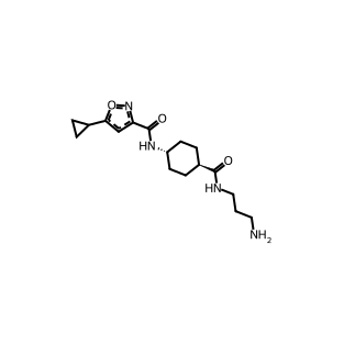 NCCCNC(=O)[C@H]1CC[C@H](NC(=O)c2cc(C3CC3)on2)CC1